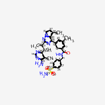 Cc1cc(C(=O)NCc2ccc(S(N)(=O)=O)cc2)cc(-c2nc([C@H](C)[AsH]c3ncnc(N)c3C#N)nn3ccc(C)c23)c1